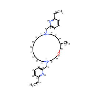 C=Cc1cccc(CN2CCCCCCCCN(Cc3cccc(C=C)n3)CCOCC(C)CCC2)n1